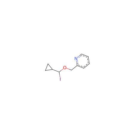 IC(OCc1ccccn1)C1CC1